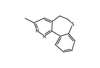 Cc1cc2c(nn1)-c1ccccc1SCC2